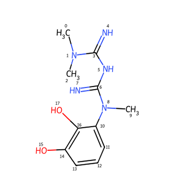 CN(C)C(=N)NC(=N)N(C)c1cccc(O)c1O